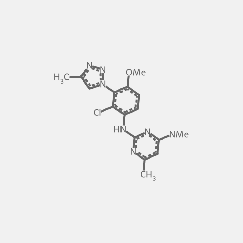 CNc1cc(C)nc(Nc2ccc(OC)c(-n3cc(C)nn3)c2Cl)n1